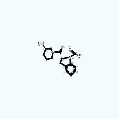 C[C@@H]1CCCN(C(=O)[C@H]2Cc3ccccc3N2C(=O)O)C1